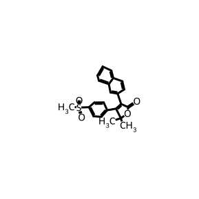 CC1(C)OC(=O)C(c2ccc3ccccc3c2)=C1c1ccc(S(C)(=O)=O)cc1